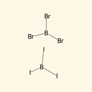 BrB(Br)Br.IB(I)I